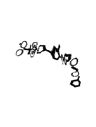 COC(=O)C(C)(C)S(=O)(=O)N1CC=C(c2ccc(-n3ccc(OCCOCc4ccccc4)n3)c(C)c2)CC1